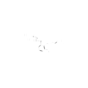 C=CCOCc1c(OC)cccc1C(=O)NNC(C)(C)C